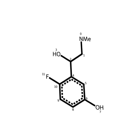 CNCC(O)c1cc(O)ccc1F